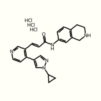 Cl.Cl.Cl.O=C(C=Cc1cnccc1-c1cnn(C2CC2)c1)Nc1ccc2c(c1)CNCC2